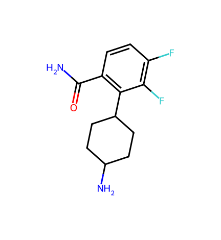 NC(=O)c1ccc(F)c(F)c1C1CCC(N)CC1